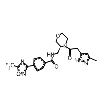 Cc1cc(CC(=O)N2CCOC[C@@H]2CNC(=O)c2ccc(-c3noc(C(F)(F)F)n3)cc2)[nH]n1